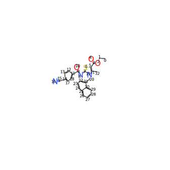 CCOC(=O)c1sc(=NC(=O)c2ccc(C#N)cc2)n(Cc2cccc3ccccc23)c1C